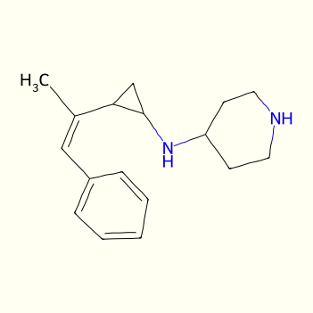 CC(=Cc1ccccc1)C1CC1NC1CCNCC1